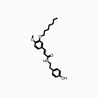 CCCCCCCOc1cc(/C=C/C(=O)NCCc2ccc(O)cc2)ccc1OC